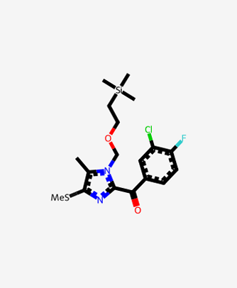 CSc1nc(C(=O)c2ccc(F)c(Cl)c2)n(COCC[Si](C)(C)C)c1C